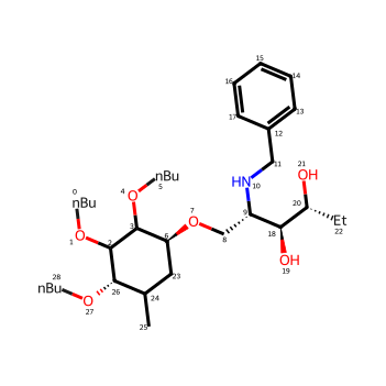 CCCCOC1C(OCCCC)[C@@H](OC[C@H](NCc2ccccc2)[C@H](O)[C@H](O)CC)CC(C)[C@@H]1OCCCC